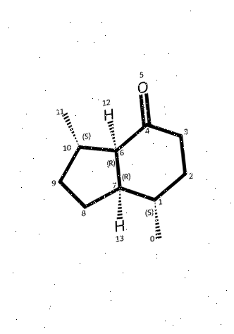 C[C@H]1CCC(=O)[C@H]2[C@@H]1CC[C@@H]2C